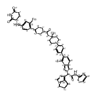 O=C1CC[C@H](Nc2ccc(C3CCN(C(=O)CC4(O)CCN(c5ccc(-c6ccc7cn(C(C(=O)Nc8nccs8)c8ncn9c8CCC9)nc7c6F)cc5)CC4)CC3)c(F)c2)C(=O)N1